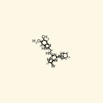 Cc1cc2nc(CNc3nc(N4CC5CCC(C4)N5)nc4c(Br)cnn34)[nH]c2cc1C